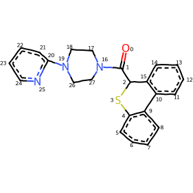 O=C(C1Sc2ccccc2-c2ccccc21)N1CCN(c2ccccn2)CC1